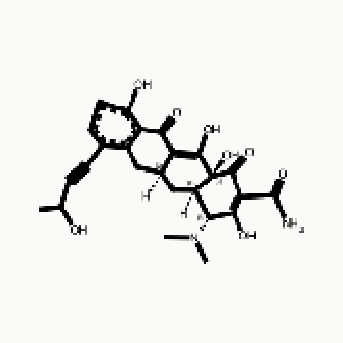 CC(O)C#Cc1ccc(O)c2c1C[C@@H]1C[C@@H]3[C@@H](N(C)C)C(O)=C(C(N)=O)C(=O)[C@@]3(O)C(O)=C1C2=O